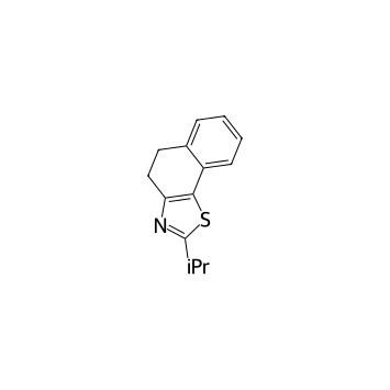 CC(C)c1nc2c(s1)-c1ccccc1CC2